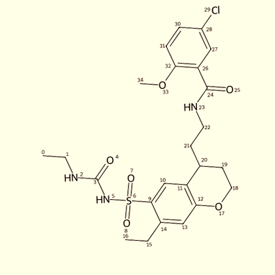 CCNC(=O)NS(=O)(=O)c1cc2c(cc1CC)OCCC2CCNC(=O)c1cc(Cl)ccc1OC